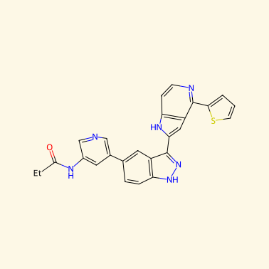 CCC(=O)Nc1cncc(-c2ccc3[nH]nc(-c4cc5c(-c6cccs6)nccc5[nH]4)c3c2)c1